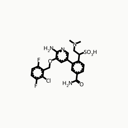 CN(C)CC(c1ccc(C(N)=O)cc1-c1cnc(N)c(OCc2c(F)ccc(F)c2Cl)c1)S(=O)(=O)O